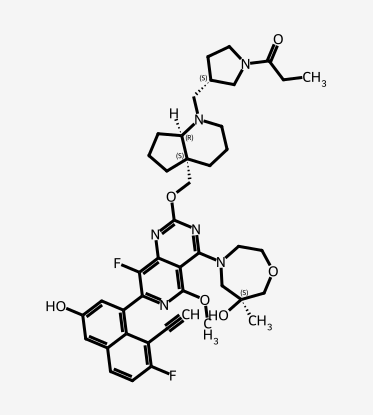 C#Cc1c(F)ccc2cc(O)cc(-c3nc(OC)c4c(N5CCOC[C@@](C)(O)C5)nc(OC[C@]56CCC[C@H]5N(C[C@@H]5CCN(C(=O)CC)C5)CCC6)nc4c3F)c12